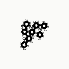 C1=c2sc3c(-c4ccc5sc6cccc(-n7c8ccccc8c8c7ccc7c9ccccc9n(-c9ccccc9)c78)c6c5c4)cccc3c2=CCC1